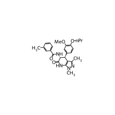 CCCOc1ccc([C@H]2c3c(C)nn(C)c3NC(=O)[C@@H]2NC(=O)c2cccc(C)c2)cc1OC